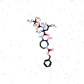 CC(C)CC(C)(NC(=O)OC(C)(C)C)C(=O)NC1CCCN(C(=O)OCc2ccccc2)CC1O